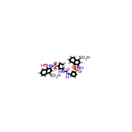 O=C(Nc1cccc(S(=O)(=O)Nc2cc(S(=O)(=O)O)c3ccccc3c2O)c1)Nc1cccc(S(=O)(=O)Nc2cc(S(=O)(=O)O)c3ccccc3c2O)c1